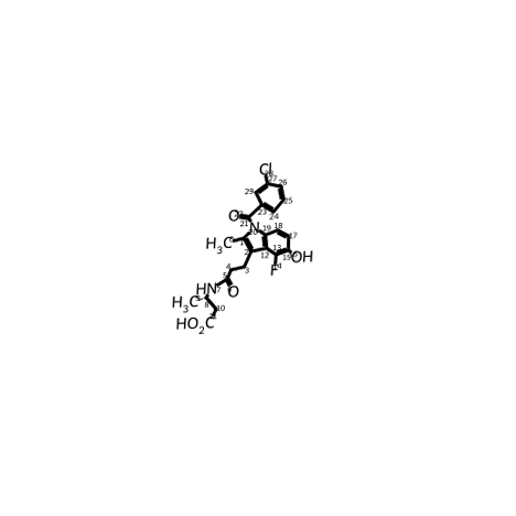 Cc1c(CCC(=O)N[C@@H](C)CC(=O)O)c2c(F)c(O)ccc2n1C(=O)c1cccc(Cl)c1